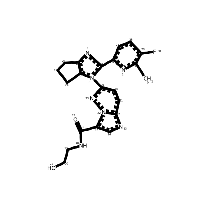 Cc1nc(-c2nc3c(n2-c2ccc4ncc(C(=O)NCCO)n4n2)CCC3)ccc1F